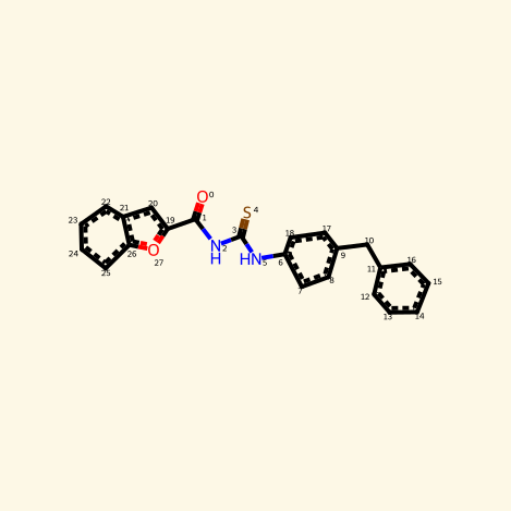 O=C(NC(=S)Nc1ccc(Cc2ccccc2)cc1)c1cc2ccccc2o1